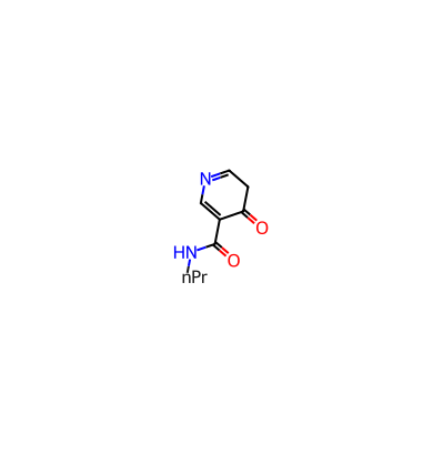 CCCNC(=O)C1=CN=CCC1=O